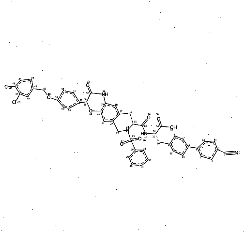 N#Cc1ccc(-c2ccc(C[C@H](NC(=O)C3Cc4cc5c(cc4CN3S(=O)(=O)c3ccccc3)O[C@@H](c3ccc(OCc4ccc(Cl)c(Cl)c4)cc3)C(=O)N5)C(=O)O)cc2)cc1